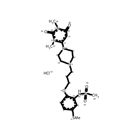 CSc1ccc(OCCCN2CCN(c3cc(=O)n(C)c(=O)n3C)CC2)c(NS(C)(=O)=O)c1.Cl